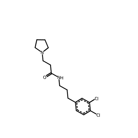 O=C(CCN1CCCC1)NCCCc1ccc(Cl)c(Cl)c1